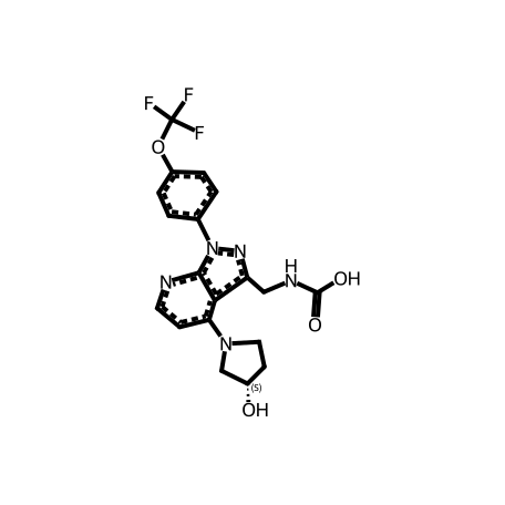 O=C(O)NCc1nn(-c2ccc(OC(F)(F)F)cc2)c2nccc(N3CC[C@H](O)C3)c12